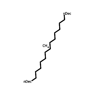 C.CCCCCCCCCCCCCCCCCCCCCCCCCCCCCCCCC